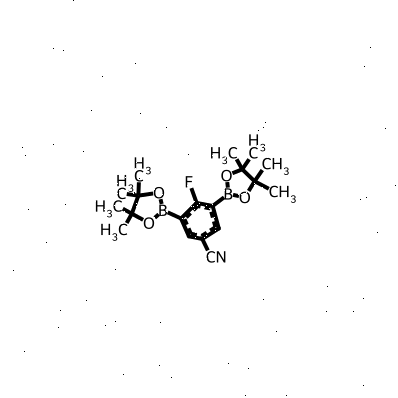 CC1(C)OB(c2cc(C#N)cc(B3OC(C)(C)C(C)(C)O3)c2F)OC1(C)C